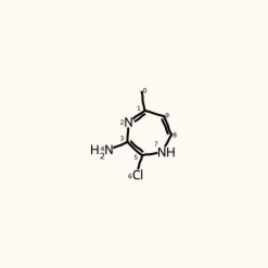 CC1=NC(N)=C(Cl)NC=C1